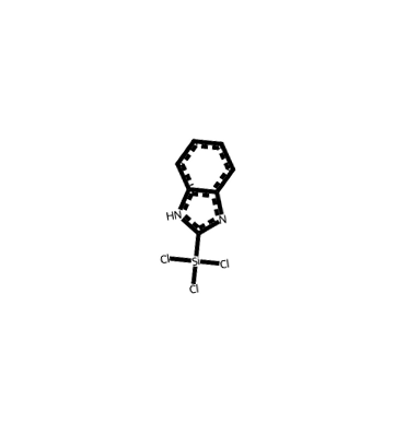 Cl[Si](Cl)(Cl)c1nc2ccccc2[nH]1